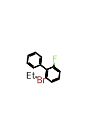 CCBr.Fc1ccccc1-c1ccccc1